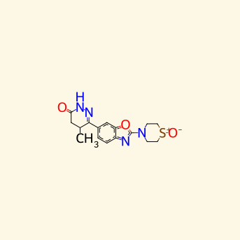 CC1CC(=O)NN=C1c1ccc2nc(N3CC[S+]([O-])CC3)oc2c1